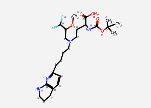 COC(CN(CCCCc1ccc2c(n1)NCCC2)CCC(NC(=O)OC(C)(C)C)C(=O)O)C(F)F